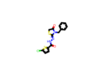 O=C(N/N=C1\SCC(=O)N1Cc1ccccc1)c1ccc(Cl)s1